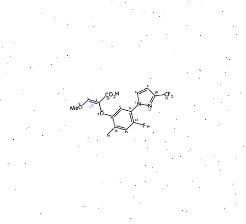 CO/C=C(\Oc1cc(-n2ccc(C(F)(F)F)n2)c(F)cc1C)C(=O)O